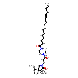 CCC=CCC=CCCCCCCCCCCC(=O)N1CCN(C(=O)CCNC(=O)C(OC(C)=O)C(C)(C)COC(C)=O)CC1